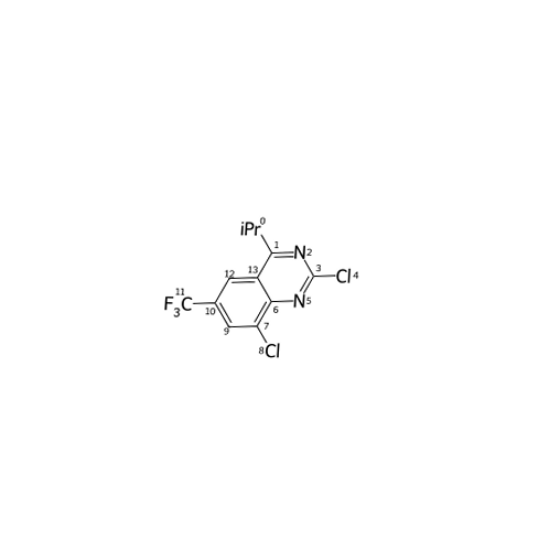 CC(C)c1nc(Cl)nc2c(Cl)cc(C(F)(F)F)cc12